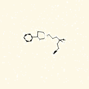 C#CCCC1(CCCN2CCC(c3ccccc3)CC2)N=N1